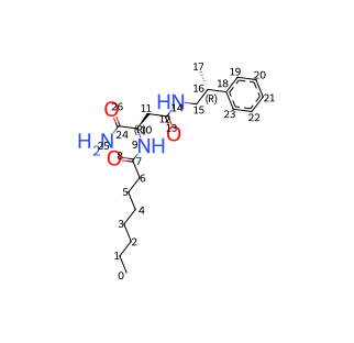 CCCCCCCC(=O)N[C@H](CC(=O)NC[C@H](C)c1ccccc1)C(N)=O